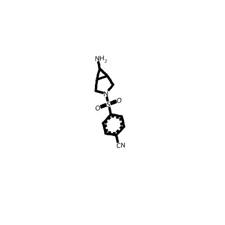 N#Cc1ccc(S(=O)(=O)N2CC3C(N)C3C2)cc1